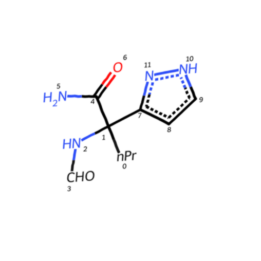 CCCC(NC=O)(C(N)=O)c1cc[nH]n1